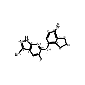 Fc1cc2c(Br)n[nH]c2nc1Nc1ccc(Br)c2c1CCC2